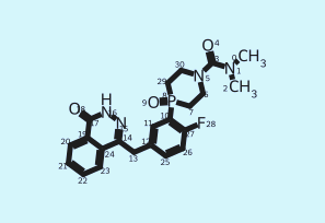 CN(C)C(=O)N1CCP(=O)(c2cc(Cc3n[nH]c(=O)c4ccccc34)ccc2F)CC1